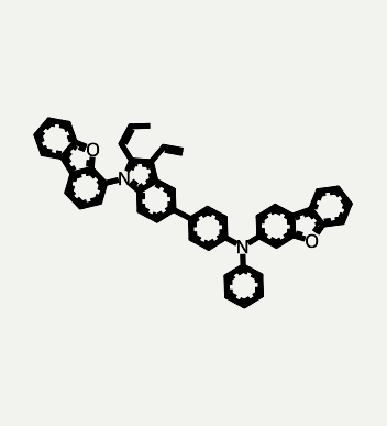 C=Cc1c(/C=C\C)n(-c2cccc3c2oc2ccccc23)c2ccc(-c3ccc(N(c4ccccc4)c4ccc5c(c4)oc4ccccc45)cc3)cc12